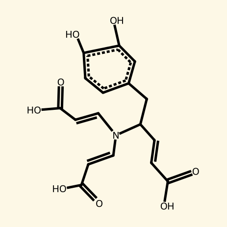 O=C(O)C=CC(Cc1ccc(O)c(O)c1)N(C=CC(=O)O)C=CC(=O)O